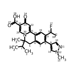 CC(C)C1(C)Cc2cc(-c3cnn(C)c3)c(C(F)F)cc2-c2cc(=O)c(C(=O)O)cn21